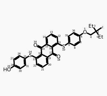 CCC(C)(CC)COc1ccc(Sc2cccc3c2C(=O)c2cccc(Sc4ccc(O)cc4)c2C3=O)cc1